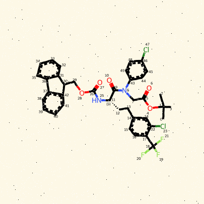 CC(C)(C)OC(=O)CN(C(=O)[C@H](CCc1ccc(C(F)(F)F)c(Cl)c1)NC(=O)OCC1c2ccccc2-c2ccccc21)c1ccc(Cl)cc1